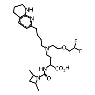 CC1CC(C)N1C(=O)NC(CCN(CCCCc1ccc2c(n1)NCCC2)CCOCC(F)F)C(=O)O